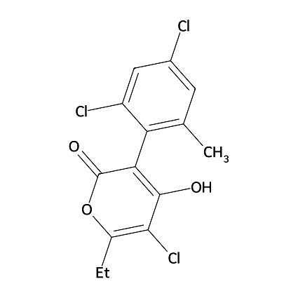 CCc1oc(=O)c(-c2c(C)cc(Cl)cc2Cl)c(O)c1Cl